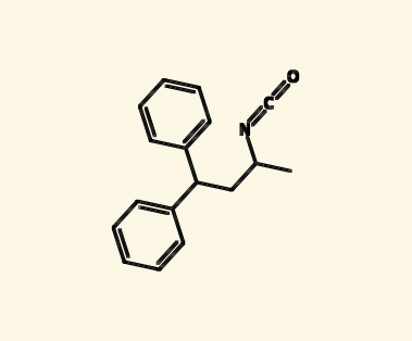 CC(CC(c1ccccc1)c1ccccc1)N=C=O